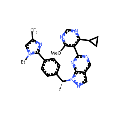 CCn1cc(C(F)(F)F)nc1-c1ccc([C@@H](C)n2ncc3cnc(-c4c(OC)ncnc4C4CC4)nc32)cc1